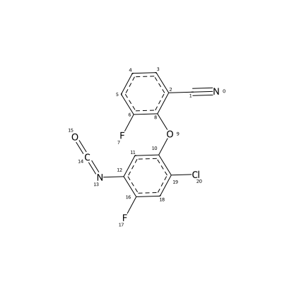 N#Cc1cccc(F)c1Oc1cc(N=C=O)c(F)cc1Cl